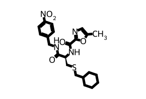 Cc1cnc(C(=O)N[C@@H](CSCC2CCCCC2)C(=O)NCc2ccc([N+](=O)[O-])cc2)o1